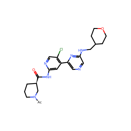 CC(=O)N1CCC[C@@H](C(=O)Nc2cc(-c3cncc(NCC4CCOCC4)n3)c(Cl)cn2)C1